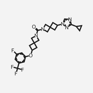 O=C(N1CC2(CC(Oc3cc(F)cc(C(F)(F)F)c3)C2)C1)N1CC2(CC(n3cnc(C4CC4)n3)C2)C1